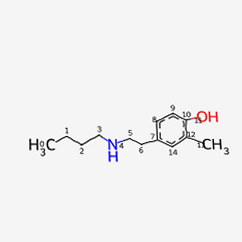 CCCCNCCc1ccc(O)c(C)c1